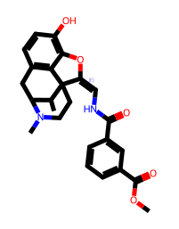 COC(=O)c1cccc(C(=O)N/C=C2/Oc3c(O)ccc4c3C23CCN(C)C(C4)C3C)c1